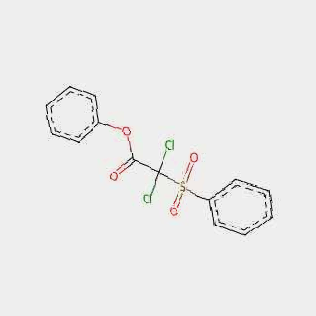 O=C(Oc1ccccc1)C(Cl)(Cl)S(=O)(=O)c1ccccc1